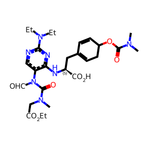 CCOC(=O)CN(C)C(=O)N(C=O)c1cnc(N(CC)CC)nc1N[C@@H](CC1=CCC(OC(=O)N(C)C)C=C1)C(=O)O